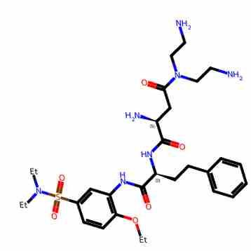 CCOc1ccc(S(=O)(=O)N(CC)CC)cc1NC(=O)[C@H](CCc1ccccc1)NC(=O)[C@@H](N)CC(=O)N(CCN)CCN